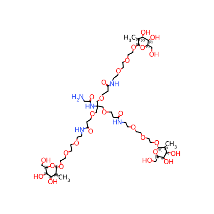 C[C@H]1[C@H](OCCOCCOCCNC(=O)CCOCC(COCCC(=O)NCCOCCOCCO[C@@H]2O[C@H](CO)[C@H](O)[C@H](O)[C@H]2C)(COCCC(=O)NCCOCCOCCO[C@@H]2O[C@H](CO)[C@H](O)[C@H](O)[C@H]2C)NC(=O)CN)O[C@H](CO)[C@H](O)[C@@H]1O